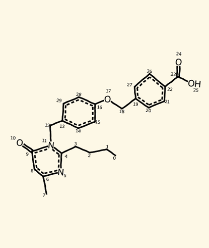 CCCCc1nc(C)cc(=O)n1Cc1ccc(OCc2ccc(C(=O)O)cc2)cc1